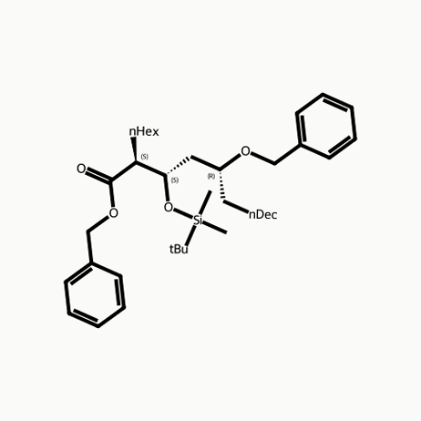 CCCCCCCCCCC[C@H](C[C@H](O[Si](C)(C)C(C)(C)C)[C@H](CCCCCC)C(=O)OCc1ccccc1)OCc1ccccc1